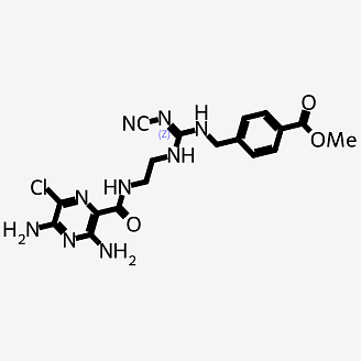 COC(=O)c1ccc(CN/C(=N/C#N)NCCNC(=O)c2nc(Cl)c(N)nc2N)cc1